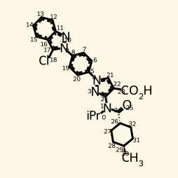 CC(C)N(c1nn(-c2ccc(-n3nc4ccccc4c3Cl)cc2)cc1C(=O)O)C(=O)[C@H]1CC[C@H](C)CC1